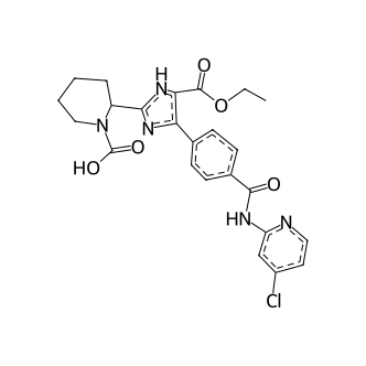 CCOC(=O)c1[nH]c(C2CCCCN2C(=O)O)nc1-c1ccc(C(=O)Nc2cc(Cl)ccn2)cc1